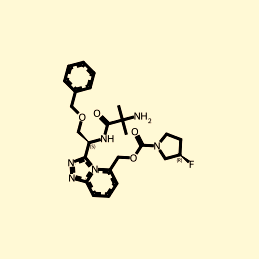 CC(C)(N)C(=O)N[C@H](COCc1ccccc1)c1nnc2cccc(COC(=O)N3CC[C@@H](F)C3)n12